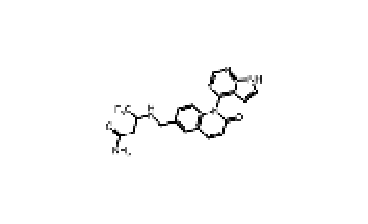 NC(=O)CC(NCc1ccc2c(ccc(=O)n2-c2ncnc3[nH]ccc23)c1)C(F)(F)F